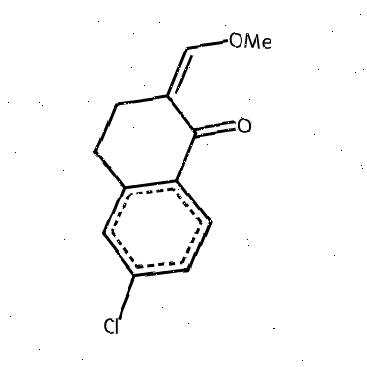 COC=C1CCc2cc(Cl)ccc2C1=O